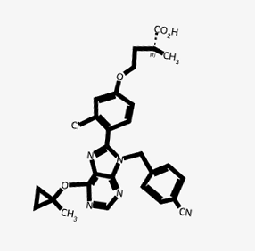 C[C@H](CCOc1ccc(-c2nc3c(OC4(C)CC4)ncnc3n2Cc2ccc(C#N)cc2)c(Cl)c1)C(=O)O